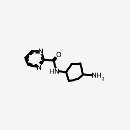 NC1CCC(NC(=O)c2ncccn2)CC1